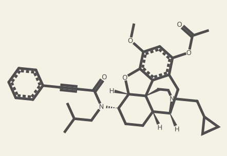 COc1cc(OC(C)=O)c2c3c1O[C@H]1[C@@H](N(CC(C)C)C(=O)C#Cc4ccccc4)CC[C@H]4[C@@H](C2)N(CC2CC2)CC[C@@]341